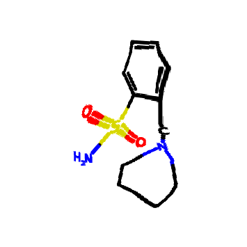 NS(=O)(=O)c1ccccc1CN1CCCC1